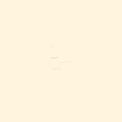 N#CCc1cc(P)nc(I)c1